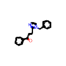 O=C(C=Cc1nccn1Cc1ccccc1)c1ccccc1